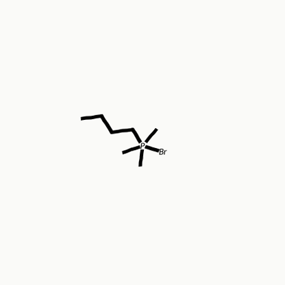 CCCCP(C)(C)(C)Br